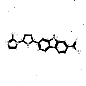 Cc1nccn1C1CCC(c2ccc3c(c2)[nH]c2cc(C(=O)O)ccc23)S1